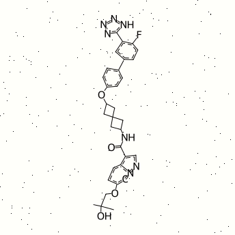 CC(C)(O)COc1ccc2c(C(=O)NC3CC4(C3)CC(Oc3ccc(-c5ccc(F)c(-c6nnn[nH]6)c5)cc3)C4)cnn2c1